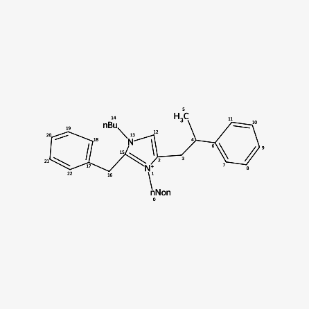 CCCCCCCCC[n+]1c(CC(C)c2ccccc2)cn(CCCC)c1Cc1ccccc1